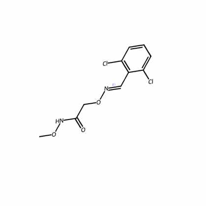 CONC(=O)CO/N=C/c1c(Cl)cccc1Cl